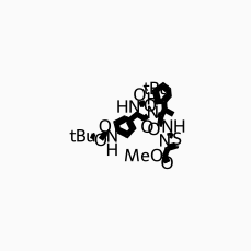 COC(=O)c1csc(NC(=O)C(NC(=O)[C@H](NC(=O)OC(C)(C)C)c2ccc(NC(=O)OC(C)(C)C)cc2)C(C)c2ccccc2)n1